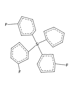 Fc1cccc([Si](c2ccccc2)(c2cccc(F)c2)c2cccc(F)c2)c1